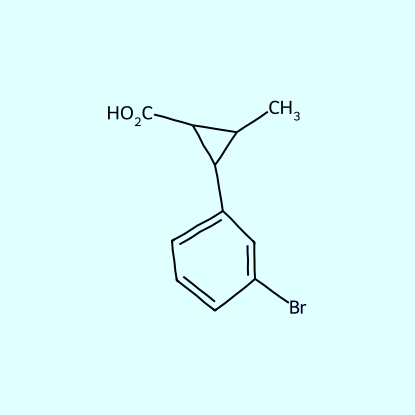 CC1C(C(=O)O)C1c1cccc(Br)c1